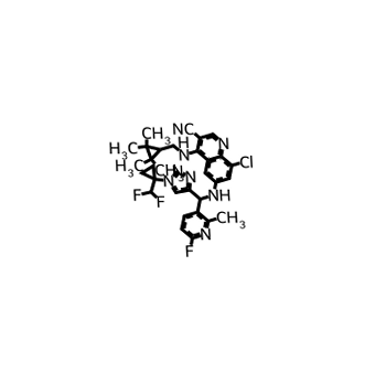 Cc1nc(F)ccc1C(Nc1cc(Cl)c2ncc(C#N)c(NCC3C(C)(C)C3(C)C)c2c1)c1cn(C2(C(F)F)CC2)nn1